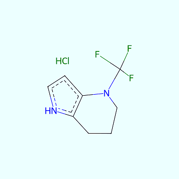 Cl.FC(F)(F)N1CCCc2[nH]ccc21